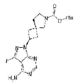 CC(C)(C)OC(=O)N1CC[C@]2(C1)C[C@H](n1nc(I)c3c(N)ncnc31)C2